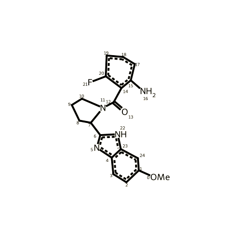 COc1ccc2nc(C3CCCN3C(=O)c3c(N)cccc3F)[nH]c2c1